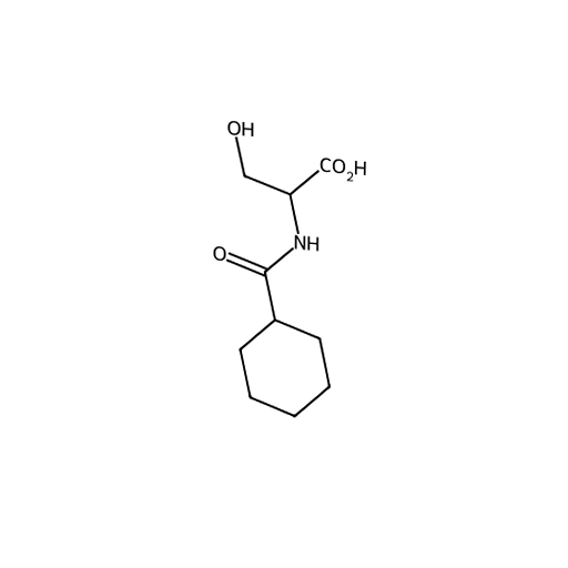 O=C(NC(CO)C(=O)O)C1CCCCC1